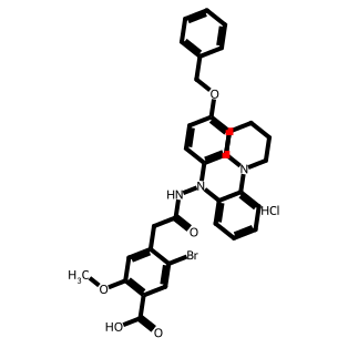 COc1cc(CC(=O)NN(c2ccc(OCc3ccccc3)cc2)c2ccccc2N2CCCCC2)c(Br)cc1C(=O)O.Cl